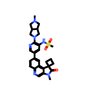 CN1CC2CN(c3ncc(-c4ccc5ncc6c(c5c4)C4(CCC4)C(=O)N6C)cc3NS(C)(=O)=O)CC2C1